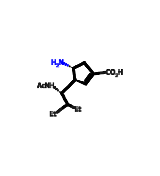 CCC(CC)[C@H](NC(C)=O)[C@@H]1C=C(C(=O)O)C[C@H]1N